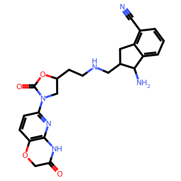 N#Cc1cccc2c1CC(CNCCC1CN(c3ccc4c(n3)NC(=O)CO4)C(=O)O1)C2N